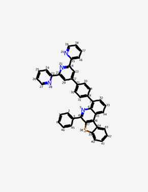 c1ccc(-c2nc3c(-c4ccc(-c5cc(-c6ccccn6)nc(-c6ccccn6)c5)cc4)cccc3c3c2sc2ccccc23)cc1